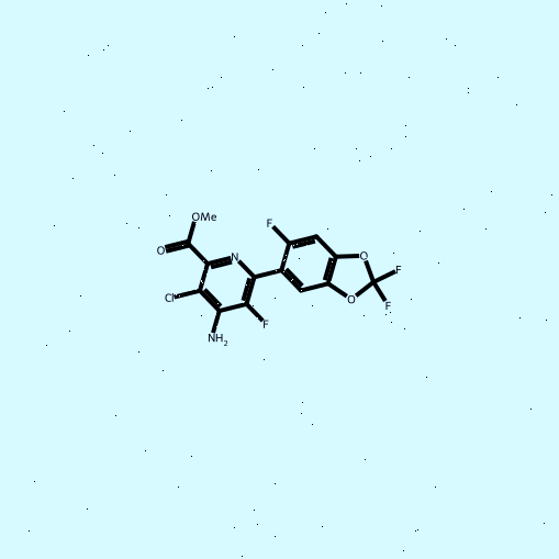 COC(=O)c1nc(-c2cc3c(cc2F)OC(F)(F)O3)c(F)c(N)c1Cl